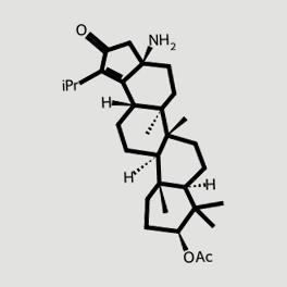 CC(=O)O[C@H]1CC[C@]2(C)[C@H]3CC[C@@H]4C5=C(C(C)C)C(=O)C[C@]5(N)CC[C@@]4(C)[C@]3(C)CC[C@H]2C1(C)C